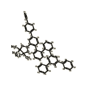 CC1(C)OB(c2cc(-c3ccc(C#N)cc3)ccc2-c2ccccc2-c2ccccc2-c2nc(-c3ccccc3)nc(-c3ccccc3)n2)OC1(C)C